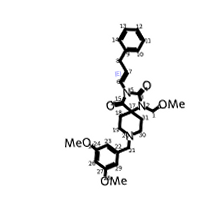 COCN1C(=O)N(/C=C/Cc2ccccc2)C(=O)C12CCN(Cc1cc(OC)cc(OC)c1)CC2